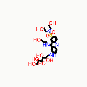 O=S(=O)(c1ccc2nc3ccc(NC[C@H](O)[C@@H](O)[C@H](O)[C@H](O)CO)cc3c(NCCCO)c2c1)N(CCO)CCO